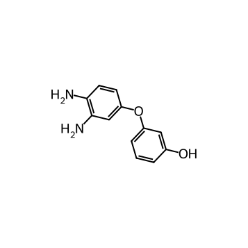 Nc1ccc(Oc2cccc(O)c2)cc1N